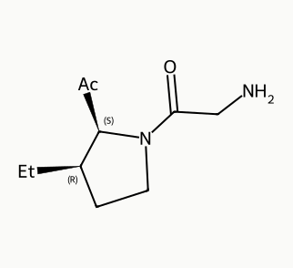 CC[C@@H]1CCN(C(=O)CN)[C@@H]1C(C)=O